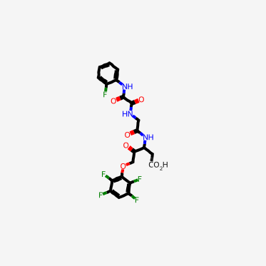 O=C(O)CC(NC(=O)CNC(=O)C(=O)Nc1ccccc1F)C(=O)COc1c(F)c(F)cc(F)c1F